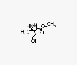 CCOC(=O)c1n[nH]c(C)c1CCO